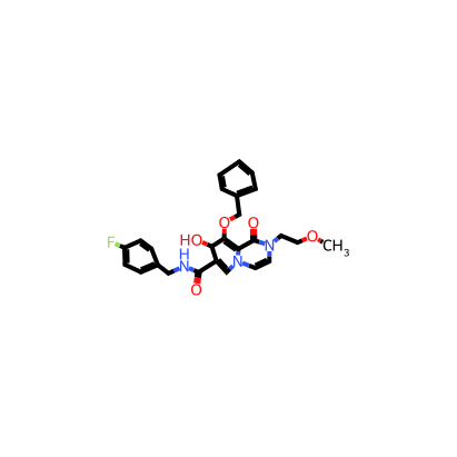 COCCN1C=CN2C=C(C(=O)NCc3ccc(F)cc3)C(O)C(OCc3ccccc3)=C2C1=O